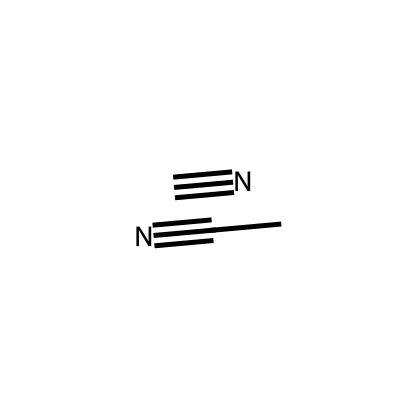 C#N.CC#N